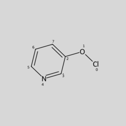 ClOc1[c]nccc1